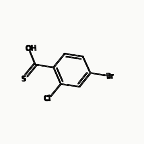 OC(=S)c1ccc(Br)cc1Cl